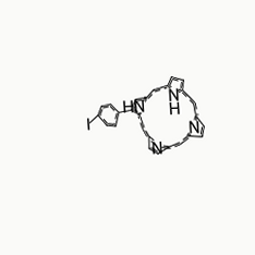 Ic1ccc(-c2cc3cc4ccc(cc5nc(cc6nc(cc2[nH]3)C=C6)C=C5)[nH]4)cc1